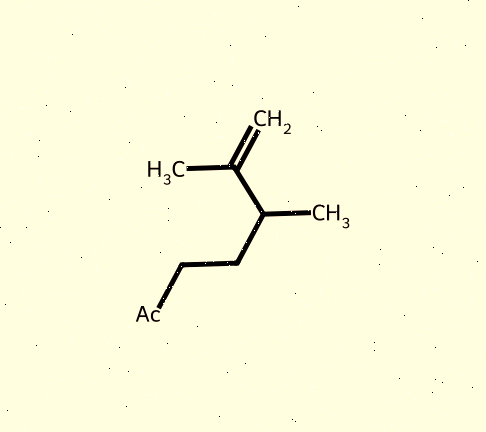 C=C(C)C(C)CCC(C)=O